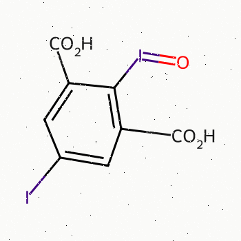 O=Ic1c(C(=O)O)cc(I)cc1C(=O)O